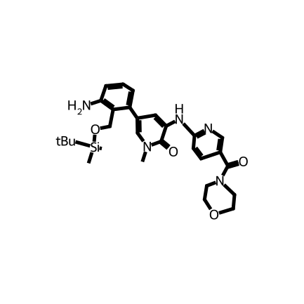 Cn1cc(-c2cccc(N)c2CO[Si](C)(C)C(C)(C)C)cc(Nc2ccc(C(=O)N3CCOCC3)cn2)c1=O